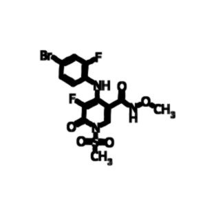 CONC(=O)c1cn(S(C)(=O)=O)c(=O)c(F)c1Nc1ccc(Br)cc1F